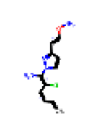 C=C/C=C\C(Cl)=C(/N)n1ccc(/C=C/ON)n1